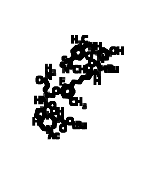 CC(=O)N1CC[C@H]2CC[C@@H](C(=O)N[C@@H](CCC(N)=O)COc3cc(C)cc(CCCCC(=O)N[C@H](C(=O)N4C[C@H](O)C[C@H]4C(=O)N[C@@H](C)c4ccc(-c5scnc5C)cc4)C(C)(C)C)c3F)N2C(=O)[C@@H](NC(=O)OC(C)(C)C)C1